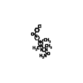 CC[C@H]1CN(c2ncc(C(N)=O)nc2C)[C@H](C)CN1C1CCN(C(=O)c2ccc(Cl)cc2)CC1